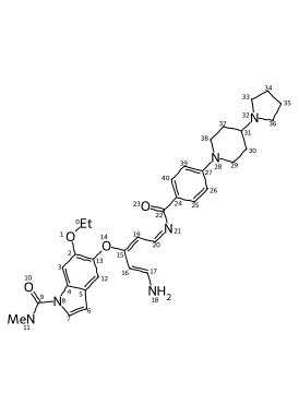 CCOc1cc2c(ccn2C(=O)NC)cc1OC(/C=C/N)=C/C=N\C(=O)c1ccc(N2CCC(N3CCCC3)CC2)cc1